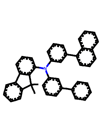 CC1(C)c2ccccc2-c2cccc(N(c3cccc(-c4ccccc4)c3)c3cccc(-c4cccc5ccccc45)c3)c21